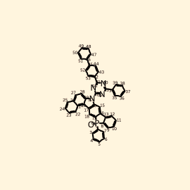 O=P1(c2ccccc2)c2ccccc2-c2cc3c(cc21)c1c2ccccc2ccc1n3-c1nc(-c2ccccc2)nc(-c2ccc(-c3ccccc3)cc2)n1